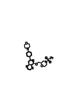 CC(C)S(=O)(=O)N1CCOC(COc2nc(-c3ccc(N4CCOCC4)cc3)cc3nccnc23)C1